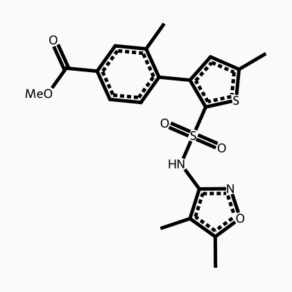 COC(=O)c1ccc(-c2cc(C)sc2S(=O)(=O)Nc2noc(C)c2C)c(C)c1